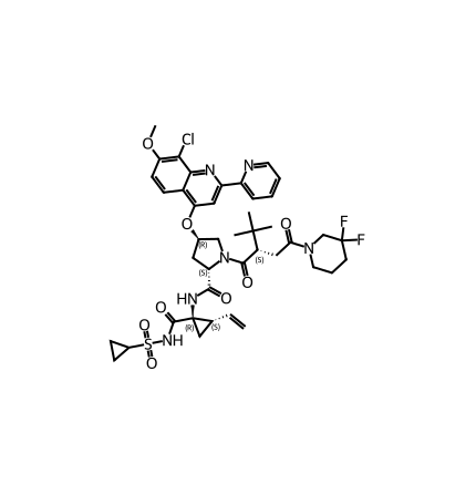 C=C[C@@H]1C[C@]1(NC(=O)[C@@H]1C[C@@H](Oc2cc(-c3ccccn3)nc3c(Cl)c(OC)ccc23)CN1C(=O)[C@@H](CC(=O)N1CCCC(F)(F)C1)C(C)(C)C)C(=O)NS(=O)(=O)C1CC1